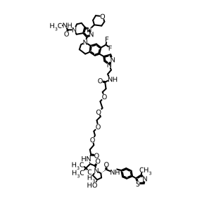 CNC(=O)N1CCc2c(c(N3CCCc4cc(-c5cnn(CCNC(=O)CCOCCOCCOCCOCCC(=O)N[C@H](C(=O)N6C[C@H](O)C[C@H]6C(=O)NCc6ccc(-c7scnc7C)cc6)C(C)(C)C)c5)c(C(F)F)cc43)nn2C2CCOCC2)C1